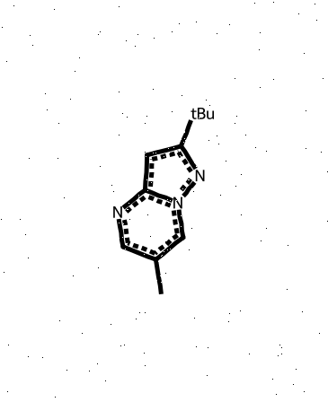 Cc1cnc2cc(C(C)(C)C)nn2c1